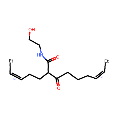 CC/C=C\CCCC(=O)C(CC/C=C\CC)C(=O)NCCO